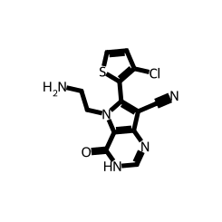 N#Cc1c(-c2sccc2Cl)n(CCN)c2c(=O)[nH]cnc12